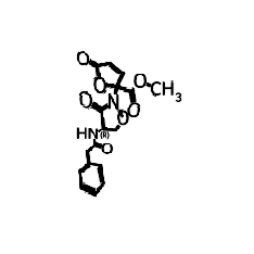 COC(=O)C1(N2OC[C@@H](NC(=O)Cc3ccccc3)C2=O)C=CC(=O)O1